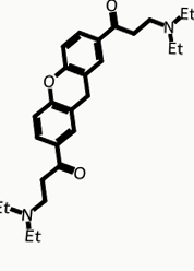 CCN(CC)CCC(=O)c1ccc2c(c1)Cc1cc(C(=O)CCN(CC)CC)ccc1O2